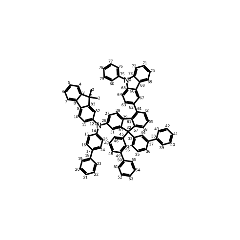 CC1(C)c2ccccc2-c2ccc(N(c3ccc(-c4ccccc4)cc3)c3ccc4c(c3)C(c3cccc(-c5ccccc5)c3)(c3cccc(-c5ccccc5)c3)c3cccc(-c5ccc6c(c5)c5ccccc5n6-c5ccccc5)c3-4)cc21